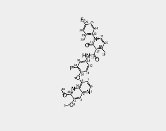 COc1cc2nccc(Oc3ccc(NC(=O)c4c(C)ccn(-c5ccc(F)cc5C)c4=O)cc3F)c2nc1OC